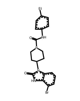 CCc1ccc(NC(=O)N2CCC(n3c(=O)[nH]c4c(Br)cccc43)CC2)cc1